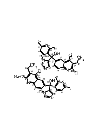 COc1nc2ccc(C(O)(c3ccc(C)nc3C)c3cnnn3C)cc2c(Cl)c1CC(F)(F)F.Cc1ccc(C(O)(c2ccc3nc(Cl)c(CC(F)(F)F)c(Cl)c3c2)c2cnnn2C)c(C)n1